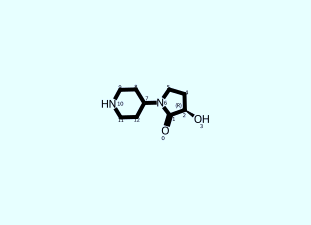 O=C1[C@H](O)CCN1C1CCNCC1